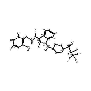 COc1cc(C)[nH]c(=O)c1CNC(=O)c1c(C)n([C@H](C)C2CCN(C(=O)C(C)(C)C(F)(F)F)CC2)c2ccccc12